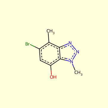 Cc1c(Br)cc(O)c2c1nnn2C